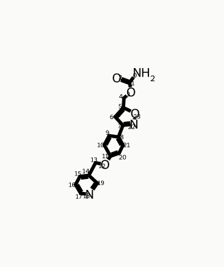 NC(=O)OCc1cc(-c2ccc(OCc3cccnc3)cc2)no1